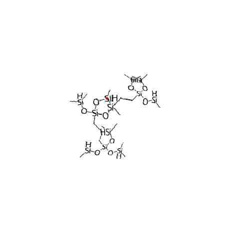 C[SiH](C)O[Si](CCC[Si](O[SiH](C)C)(O[SiH](C)C)O[Si](C)(C)CC[Si](O[SiH](C)C)(O[SiH](C)C)O[SiH](C)C)(O[SiH](C)C)O[SiH](C)C